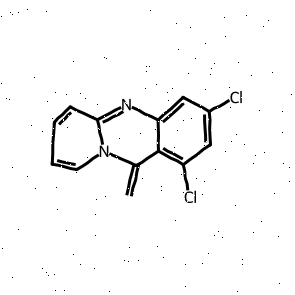 C=C1c2c(Cl)cc(Cl)cc2N=C2C=CC=CN12